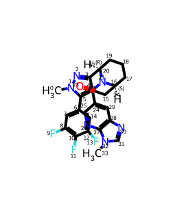 Cn1nc2c(c1-c1cc(F)c(F)c(F)c1)C[C@@H]1CCC[C@H]2N1C(=O)c1cnc2c(c1)ncn2C